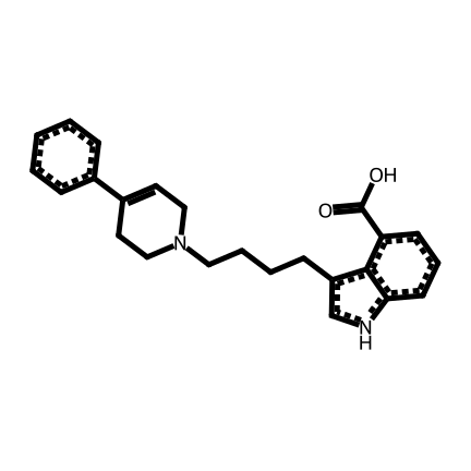 O=C(O)c1cccc2[nH]cc(CCCCN3CC=C(c4ccccc4)CC3)c12